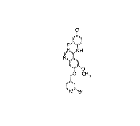 COc1cc2c(Nc3ccc(Cl)cc3F)ncnc2cc1OCc1ccnc(Br)c1